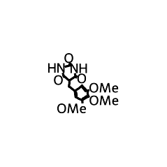 COc1cc(CC2C(=O)NC(=O)NC2=O)cc(OC)c1OC